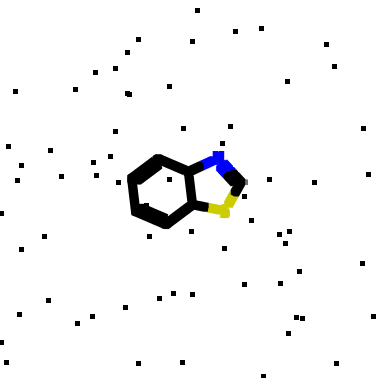 [C]1=NC2C=CC=CC2S1